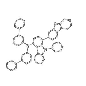 c1ccc(-c2cccc(N(c3cccc(-c4ccccc4)c3)c3ccc(-c4ccc5c(c4)oc4ccccc45)c4c3c3ccccc3n4-c3ccccc3)c2)cc1